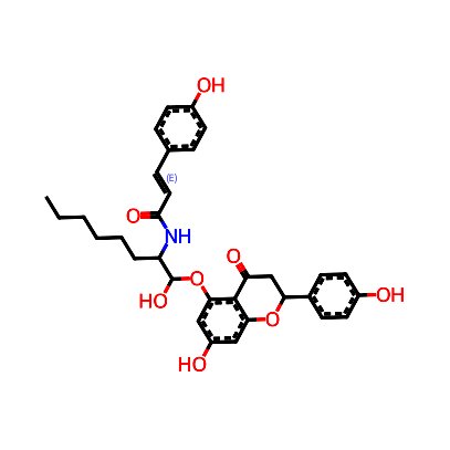 CCCCCCC(NC(=O)/C=C/c1ccc(O)cc1)C(O)Oc1cc(O)cc2c1C(=O)CC(c1ccc(O)cc1)O2